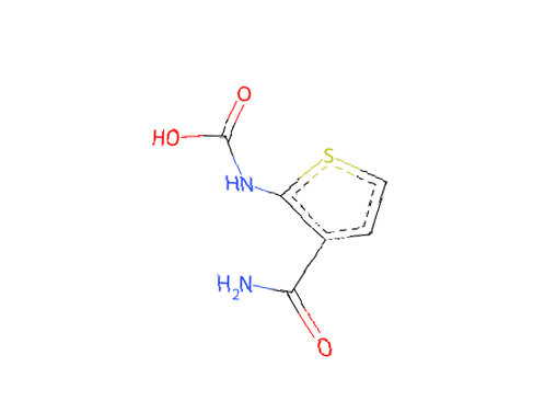 NC(=O)c1ccsc1NC(=O)O